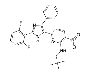 CC(C)(C)CNc1nc(-c2[nH]c(-c3c(F)cccc3F)nc2-c2ccccc2)ccc1[N+](=O)[O-]